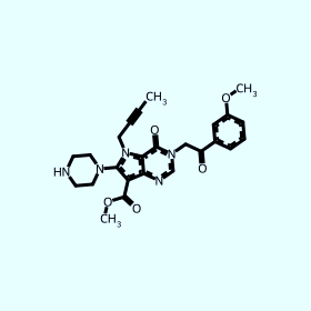 CC#CCn1c(N2CCNCC2)c(C(=O)OC)c2ncn(CC(=O)c3cccc(OC)c3)c(=O)c21